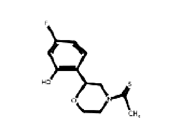 CC(=S)N1CCOC(c2ccc(F)cc2O)C1